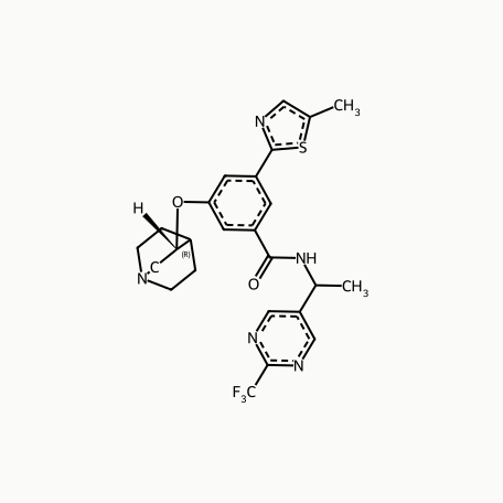 Cc1cnc(-c2cc(O[C@H]3CN4CCC3CC4)cc(C(=O)NC(C)c3cnc(C(F)(F)F)nc3)c2)s1